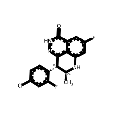 C[C@@H]1Nc2cc(F)cc3c(=O)[nH]nc(c23)[C@H]1c1ccc(Cl)cc1F